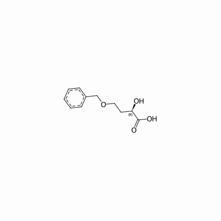 O=C(O)[C@H](O)CCOCc1ccccc1